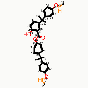 CPOc1ccc(C(C)(C)c2ccc(OC(=O)c3cc(C(C)(C)c4ccc(OPC)cc4)ccc3O)cc2)cc1